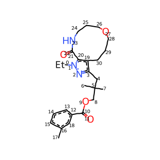 CCn1nc(CC(C)(C)COC(=O)c2cccc(C)c2)c2c1C(=O)NCCCOCCC2